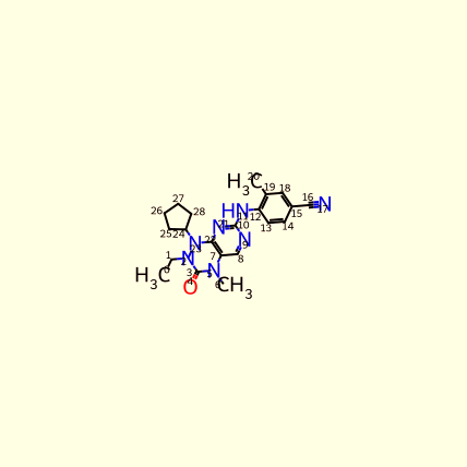 CCN1C(=O)N(C)c2cnc(Nc3ccc(C#N)cc3C)nc2N1C1CCCC1